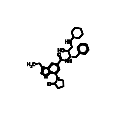 CCn1cnc2c(N3CCCC3=O)cc(C(=O)N[C@@H](Cc3ccccc3)[C@@H](O)CNC3CCCCC3)cc21